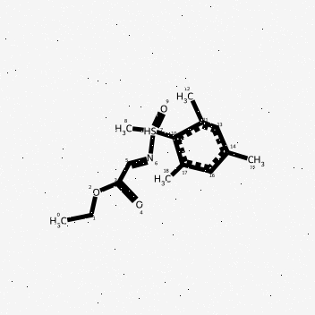 CCOC(=O)/C=N/[SH](C)(=O)c1c(C)cc(C)cc1C